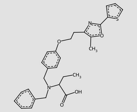 CCC(C(=O)O)N(Cc1ccccc1)Cc1ccc(OCCc2nc(-c3cccs3)oc2C)cc1